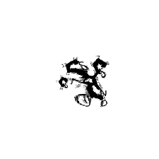 O=c1nc2c(-c3cccs3)c(-c3cccs3)nc-2c1=O.c1ccsc1